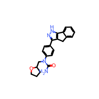 NC(=O)N(CC1CCCO1)c1ccc(-c2n[nH]c3c2Cc2ccccc2-3)cc1